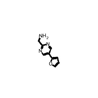 NCc1ncc(-c2ccco2)cn1